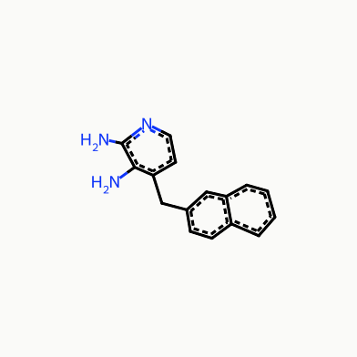 Nc1nccc(Cc2ccc3ccccc3c2)c1N